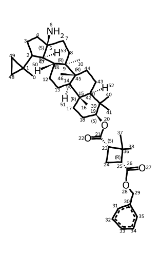 CC1(C2CC[C@]3(N)CC[C@]4(C)[C@H](CC[C@@H]5[C@@]6(C)CC[C@H](OC(=O)[C@H]7C[C@@H](C(=O)OCc8ccccc8)C7(C)C)C(C)(C)[C@@H]6CC[C@]54C)[C@@H]23)CC1